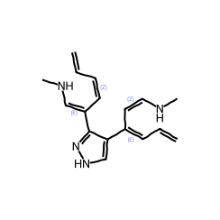 C=C/C=C\C(=C/NC)c1n[nH]cc1C(/C=C\NC)=C/C=C